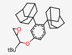 CC(C)(C)C(Oc1ccc(C23CC4CC(CC(C4)C2)C3)c(C23CC4CC(CC(C4)C2)C3)c1)C1CO1